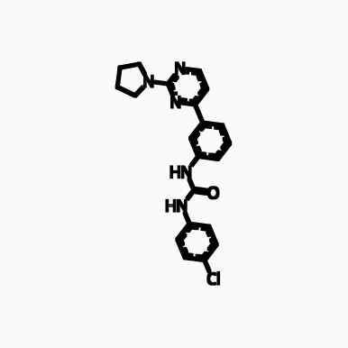 O=C(Nc1ccc(Cl)cc1)Nc1cccc(-c2ccnc(N3CCCC3)n2)c1